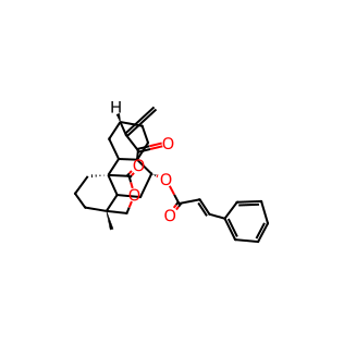 C=C1C(=O)C23CC[C@H]1CC2[C@@]12CCC[C@@](C)(COC1=O)C2C[C@H]3OC(=O)/C=C/c1ccccc1